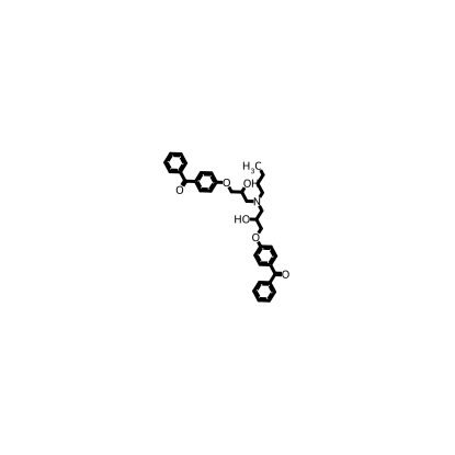 CCCCN(CC(O)COc1ccc(C(=O)c2ccccc2)cc1)CC(O)COc1ccc(C(=O)c2ccccc2)cc1